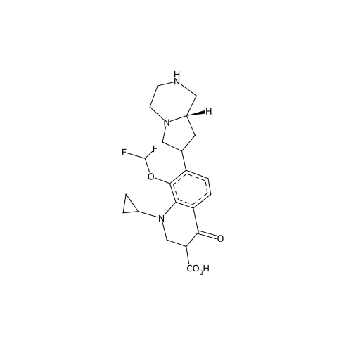 O=C(O)C1CN(C2CC2)c2c(ccc(C3C[C@H]4CNCCN4C3)c2OC(F)F)C1=O